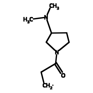 [CH2]CC(=O)N1CCC(N(C)C)C1